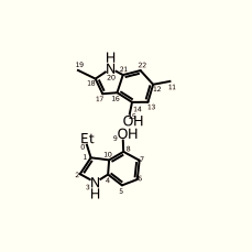 CCc1c[nH]c2cccc(O)c12.Cc1cc(O)c2cc(C)[nH]c2c1